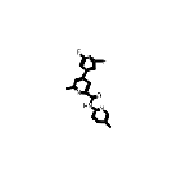 Cc1ccc(NC(=O)c2cc(-c3cc(F)cc(F)c3)cc(C)n2)nc1